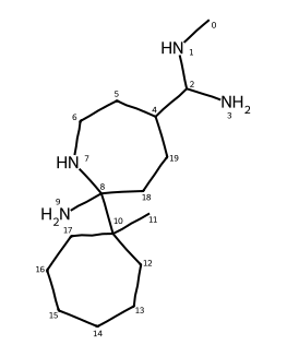 CNC(N)C1CCNC(N)(C2(C)CCCCCC2)CC1